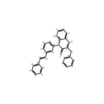 O=c1c(Cc2ccccc2)nc2cccnc2n1-c1cccc(C=Cc2ccccc2)c1